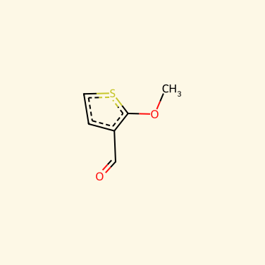 COc1sccc1C=O